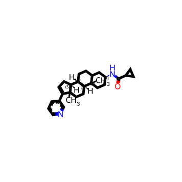 C[C@]12CC[C@@H](NC(=O)C3CC3)CC1CC[C@@H]1[C@@H]2CC[C@]2(C)C(c3cccnc3)=CC[C@@H]12